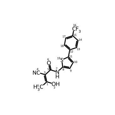 CC(O)=C(C#N)C(=O)Nc1ccc(-c2ccc(C(F)(F)F)cc2)s1